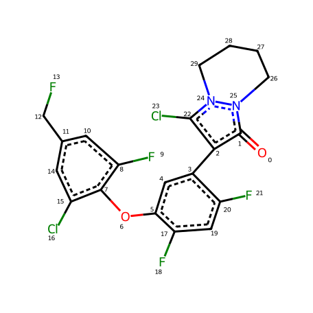 O=c1c(-c2cc(Oc3c(F)cc(CF)cc3Cl)c(F)cc2F)c(Cl)n2n1CCCC2